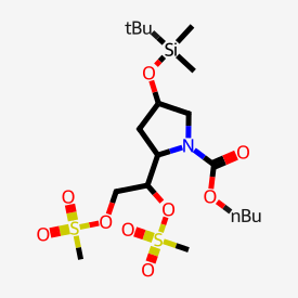 CCCCOC(=O)N1CC(O[Si](C)(C)C(C)(C)C)CC1C(COS(C)(=O)=O)OS(C)(=O)=O